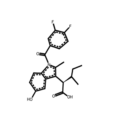 CCC(C)[C@@H](C(=O)O)c1c(C)n(C(=O)c2ccc(F)c(F)c2)c2ccc(O)cc12